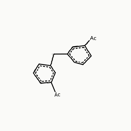 CC(=O)c1cccc([CH]c2cccc(C(C)=O)c2)c1